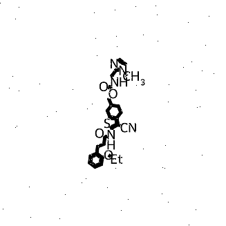 CCOc1ccccc1CCC(=O)Nc1sc2c(c1C#N)CCC(COC(=O)NCc1nccn1C)C2